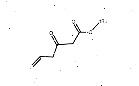 C=CCC(=O)CC(=O)OC(C)(C)C